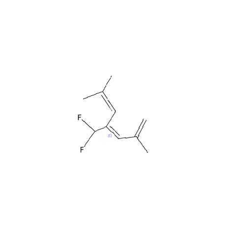 C=C(C)/C=C(\C=C(C)C)C(F)F